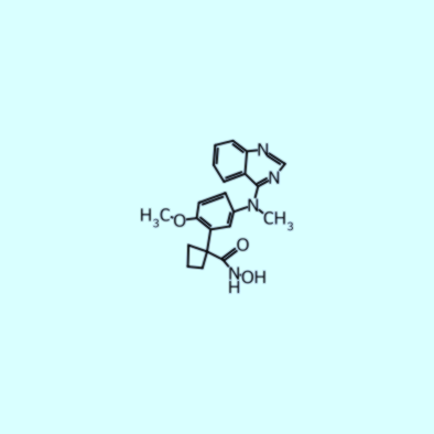 COc1ccc(N(C)c2ncnc3ccccc23)cc1C1(C(=O)NO)CCC1